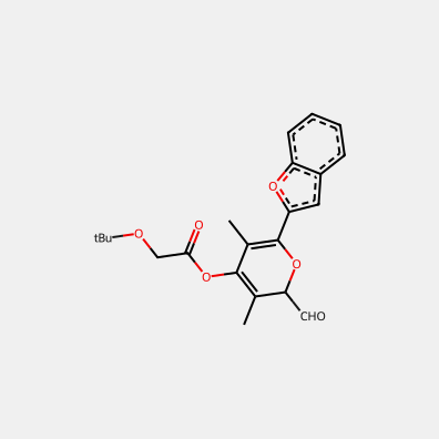 CC1=C(c2cc3ccccc3o2)OC(C=O)C(C)=C1OC(=O)COC(C)(C)C